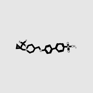 CS(=O)(=O)c1ccc(-c2ccc(OCC3CCN(CC4(C(F)(F)F)CC4)CC3)cc2)cc1